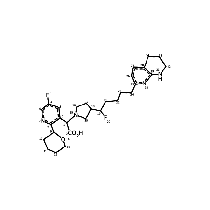 O=C(O)C(c1cc(F)cnc1C1CCCCO1)N1CCC(C(F)CCCCc2ccc3c(n2)NCCC3)C1